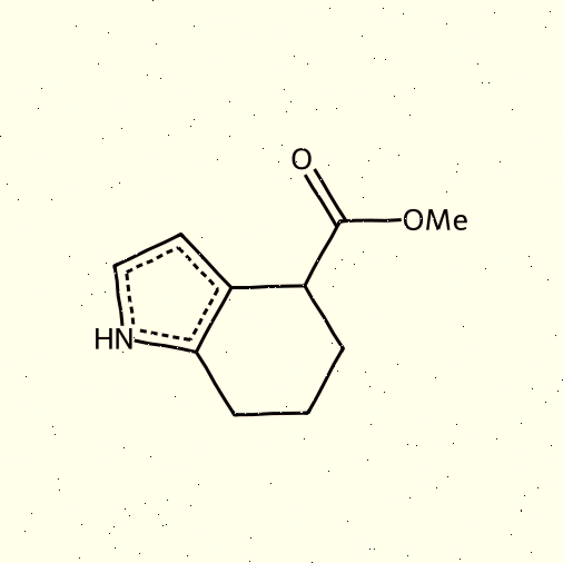 COC(=O)C1CCCc2[nH]ccc21